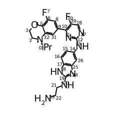 CC(C)N1CCOc2c(F)cc(-c3nc(Nc4ccc5[nH]c(NCCN)nc5c4)ncc3F)cc21